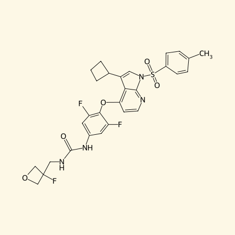 Cc1ccc(S(=O)(=O)n2cc(C3CCC3)c3c(Oc4c(F)cc(NC(=O)NCC5(F)COC5)cc4F)ccnc32)cc1